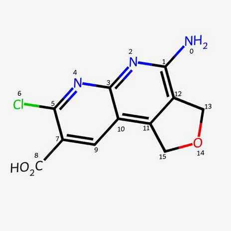 Nc1nc2nc(Cl)c(C(=O)O)cc2c2c1COC2